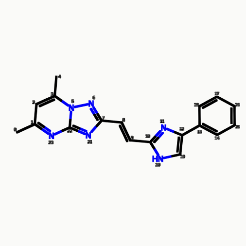 Cc1cc(C)n2nc(/C=C/c3nc(-c4ccccc4)c[nH]3)nc2n1